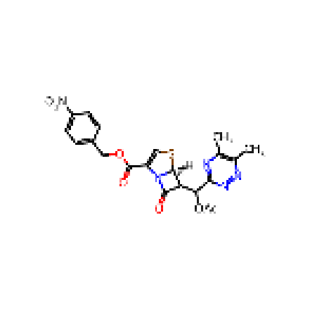 CC(=O)OC(c1nnc(C)c(C)n1)C1C(=O)N2C(C(=O)OCc3ccc([N+](=O)[O-])cc3)=CS[C@H]12